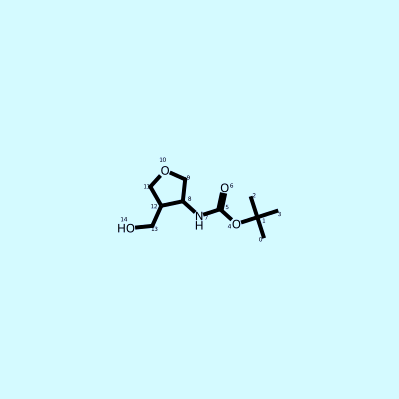 CC(C)(C)OC(=O)NC1COCC1CO